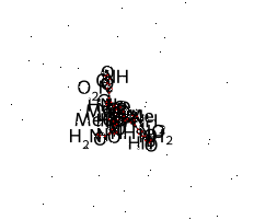 COC[C@H]1O[C@@H](n2cc(C#CCNC(=O)CN)c(=O)[nH]c2=O)C[C@@H]1OP(=O)(OC)OC[C@H]1O[C@@H](n2cc(C#Cc3ccc(C(C)OC4CNC(=O)SC4=O)c([N+](=O)[O-])c3)c(=O)[nH]c2=O)C[C@@H]1OP(=O)(OC)OC[C@H]1O[C@@H](n2cc(C#Cc3ccc(C(C)NC4CNC(=O)SC4=O)c([N+](=O)[O-])c3)c3c(N)ncnc32)C[C@@H]1O